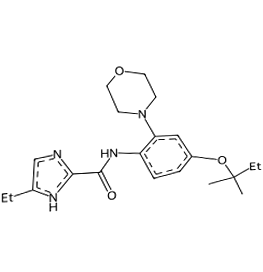 CCc1cnc(C(=O)Nc2ccc(OC(C)(C)CC)cc2N2CCOCC2)[nH]1